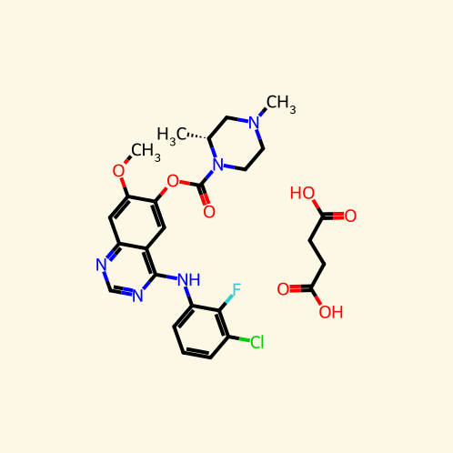 COc1cc2ncnc(Nc3cccc(Cl)c3F)c2cc1OC(=O)N1CCN(C)C[C@H]1C.O=C(O)CCC(=O)O